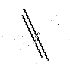 CCCCCCCCCCCCCCCCCC(=O)OCCCCCCCCCC.CCCCCCCCCCCCCCCCCC(=O)OCCCCCCCCCCCCCCCC